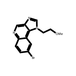 COCCn1cnc2cnc3ccc(Br)cc3c21